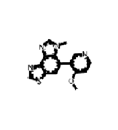 COc1ccncc1-c1cc2s[c]nc2c2ncn(C)c12